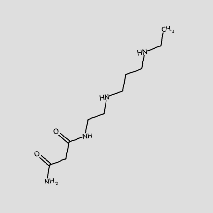 CCNCCCNCCNC(=O)CC(N)=O